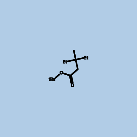 CCC(C)(CC)CC(=O)OC(C)(C)C